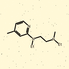 CCN(C)CCN(CC)c1cc(C)ccn1